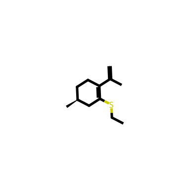 C=C(C)C1=C(SCC)C[C@@H](C)CC1